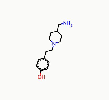 NCC1CCN(CCc2ccc(O)cc2)CC1